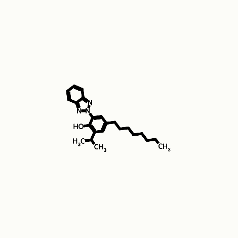 CCCCCCCCc1cc(C(C)C)c(O)c(-n2nc3ccccc3n2)c1